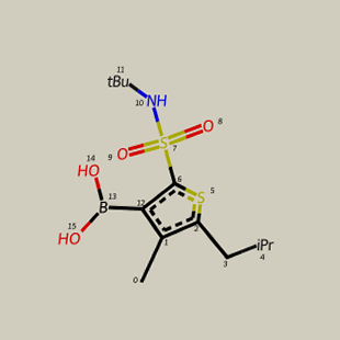 Cc1c(CC(C)C)sc(S(=O)(=O)NC(C)(C)C)c1B(O)O